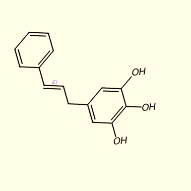 Oc1cc(C/C=C/c2ccccc2)cc(O)c1O